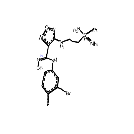 CC(C)[SH](=N)(N)CCNc1nonc1/C(=N/O)Nc1ccc(F)c(Br)c1